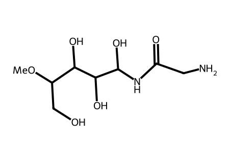 COC(CO)C(O)C(O)C(O)NC(=O)CN